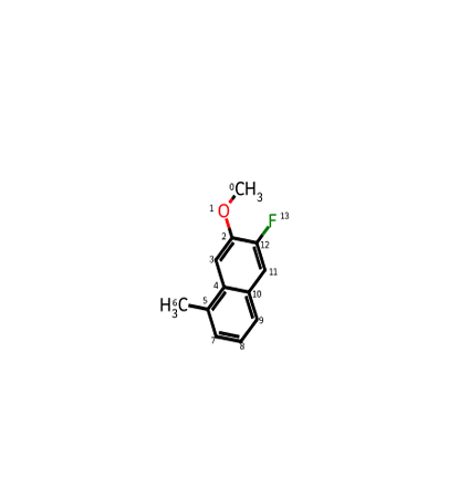 COc1cc2c(C)cccc2cc1F